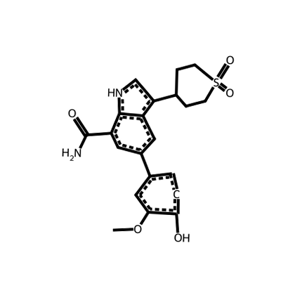 COc1cc(-c2cc(C(N)=O)c3[nH]cc(C4CCS(=O)(=O)CC4)c3c2)ccc1O